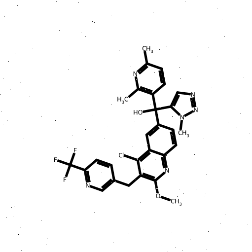 COc1nc2ccc(C(O)(c3ccc(C)nc3C)c3cnnn3C)cc2c(Cl)c1Cc1ccc(C(F)(F)F)nc1